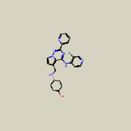 O[C@H]1CC[C@H](NCc2ccn3nc(-c4ccccn4)nc(Nc4ccncc4F)c23)CC1